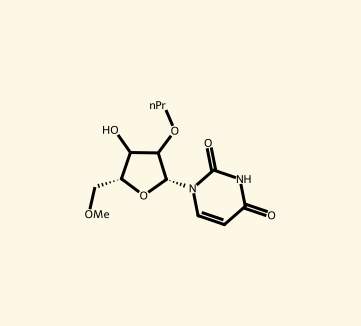 CCCOC1C(O)[C@@H](COC)O[C@H]1n1ccc(=O)[nH]c1=O